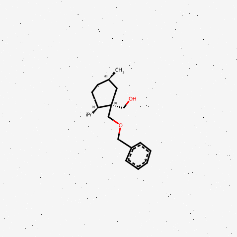 CC(C)[C@H]1CC[C@@H](C)C[C@@]1(CO)COCc1ccccc1